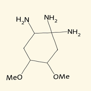 COC1CC(N)C(N)(N)CC1OC